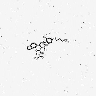 C[C@@]1(c2ccc(OCCCC(F)(F)F)cc2F)CC(c2ccc3c(c2)CCC3)=C(C(=O)NS(C)(=O)=O)C(=O)N1